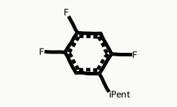 CCCC(C)c1cc(F)c(F)cc1F